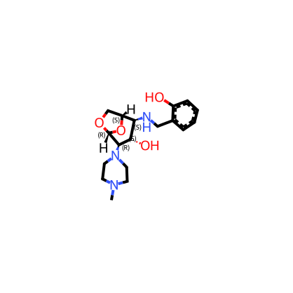 CN1CCN([C@H]2[C@@H]3OC[C@@H](O3)[C@@H](NCc3ccccc3O)[C@@H]2O)CC1